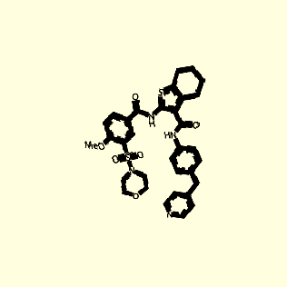 COc1ccc(C(=O)Nc2sc3c(c2C(=O)Nc2ccc(Cc4ccncc4)cc2)CCCC3)cc1S(=O)(=O)N1CCOCC1